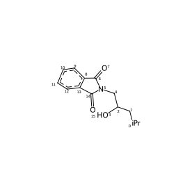 CC(C)CC(O)CN1C(=O)c2ccccc2C1=O